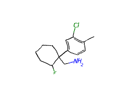 Cc1ccc(C2(CN)CCCCC2F)cc1Cl